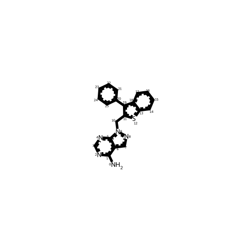 Nc1ncnc2c1cnn2Cc1sc2ccccc2c1-c1ccccc1